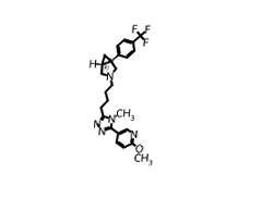 COc1ccc(-c2nnc(CCCCN3C[C@@H]4C[C@]4(c4ccc(C(F)(F)F)cc4)C3)n2C)cn1